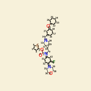 O=C(Oc1cccs1)N(CC1C2CN(Cc3cccc(Oc4ccccc4)c3)CC21)c1ccc(N2CCOCC2)c(F)c1